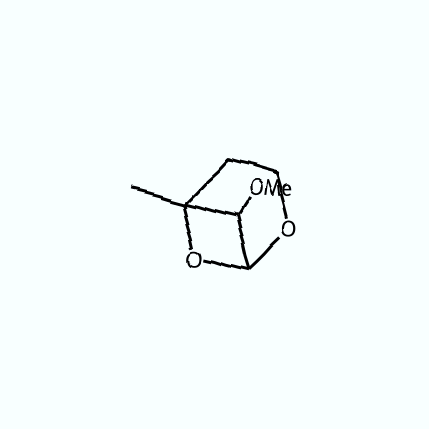 COC1C2OCCC1(C)O2